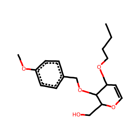 CCCCOC1C=COC(CO)C1OCc1ccc(OC)cc1